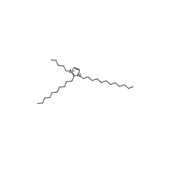 CCCCCCCCCCCCn1cc[n+](CCCCC)c1CCCCCCCCCC